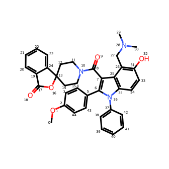 COc1ccc(-c2c(C(=O)N3CCC4(CC3)OC(=O)c3ccccc34)c3c(CN(C)C)c(O)ccc3n2-c2ccccc2)cc1